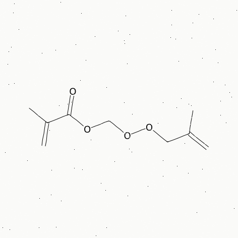 C=C(C)COOCOC(=O)C(=C)C